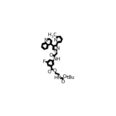 Cc1cccc(-c2nn(CC(=O)Nc3cc(F)cc(C(=O)OCCNC(=O)OC(C)(C)C)c3)cc2-c2ccnc3ccccc23)n1